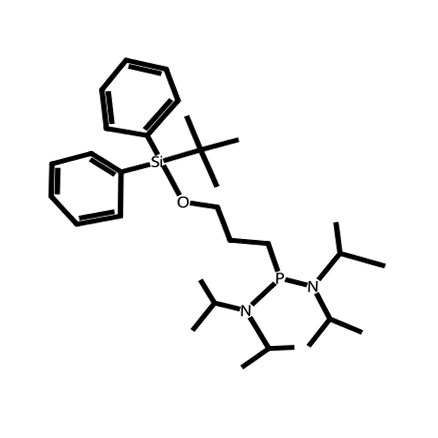 CC(C)N(C(C)C)P(CCCO[Si](c1ccccc1)(c1ccccc1)C(C)(C)C)N(C(C)C)C(C)C